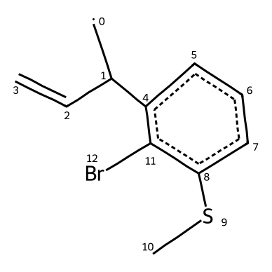 [CH2]C(C=C)c1cccc(SC)c1Br